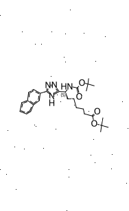 CC(C)(C)OC(=O)CCCCC[C@H](NC(=O)OC(C)(C)C)c1nnc(-c2ccc3ccccc3c2)[nH]1